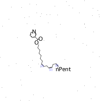 CCCCC/C=C\C/C=C\C/C=C\CCCCCCCOC(=O)c1cccnc1